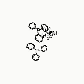 CNC.Cl.c1ccc(P(c2ccccc2)c2ccccc2)cc1.c1ccc(P(c2ccccc2)c2ccccc2)cc1